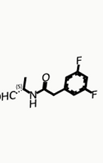 C[C@@H]([C]=O)NC(=O)Cc1cc(F)cc(F)c1